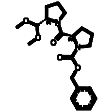 COC(OC)[C@@H]1CCCN1C(=O)[C@H]1CCCN1C(=O)OCc1ccccc1